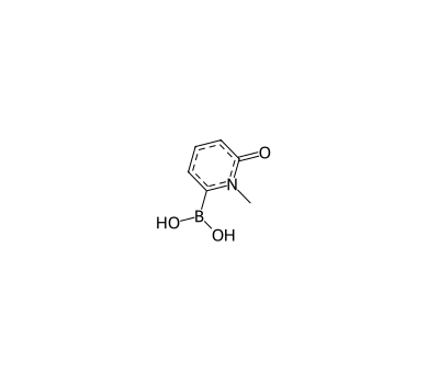 Cn1c(B(O)O)cccc1=O